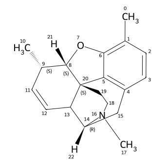 Cc1ccc2c3c1O[C@H]1[C@@H](C)C=CC4[C@@H](C2)N(C)CC[C@@]341